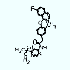 Cc1cc(CC(=O)Nc2cc(C(C)(C)C)ncn2)ccc1Oc1ncnc2ccc(F)cc12